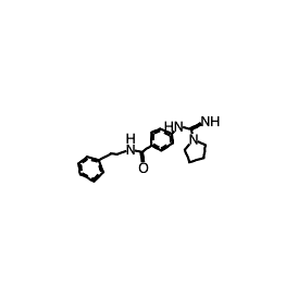 N=C(Nc1ccc(C(=O)NCCc2ccccc2)cc1)N1CCCC1